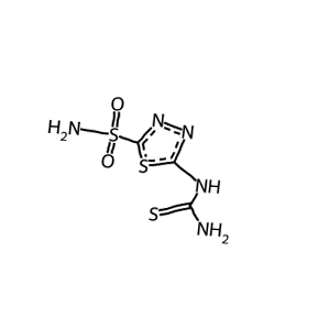 NC(=S)Nc1nnc(S(N)(=O)=O)s1